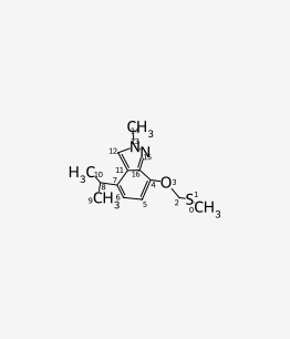 CSCOc1ccc(C(C)C)c2cn(C)nc12